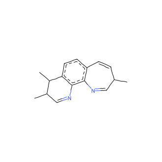 CC1C=Cc2ccc3c(c2N=C1)N=CC(C)C3C